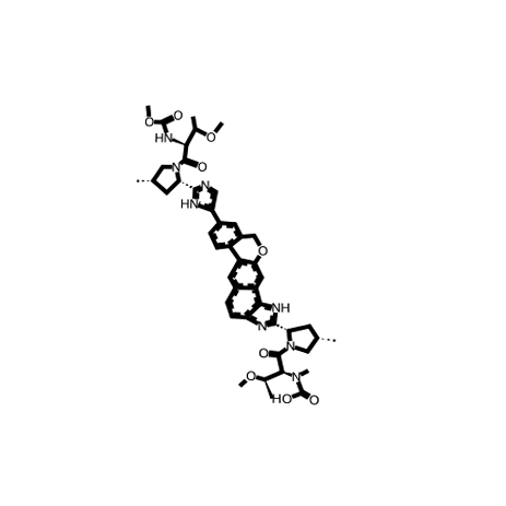 COC(=O)N[C@H](C(=O)N1C[C@@H](C)C[C@H]1c1ncc(-c2ccc3c(c2)COc2cc4c(ccc5nc([C@@H]6C[C@H](C)CN6C(=O)[C@H]([C@@H](C)OC)N(C)C(=O)O)[nH]c54)cc2-3)[nH]1)C(C)OC